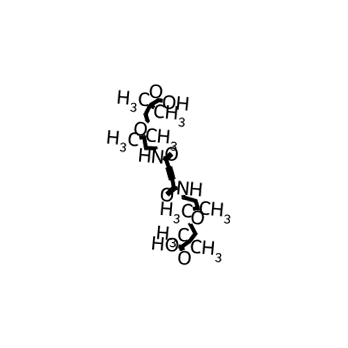 CC(C)(CCNC(=O)C#CC(=O)NCCC(C)(C)OCCC(C)(C)C(=O)O)OCCC(C)(C)C(=O)O